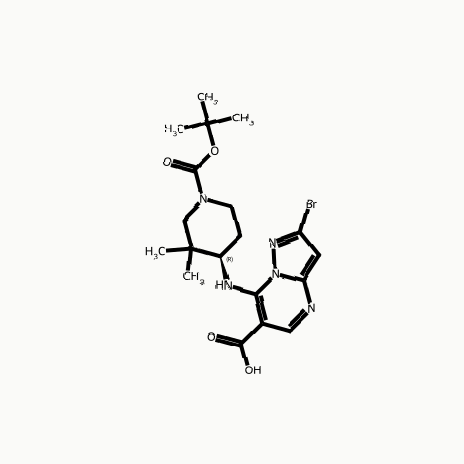 CC(C)(C)OC(=O)N1CC[C@@H](Nc2c(C(=O)O)cnc3cc(Br)nn23)C(C)(C)C1